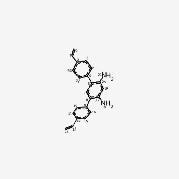 C=Cc1ccc(-c2cc(-c3ccc(C=C)cc3)c(N)cc2N)cc1